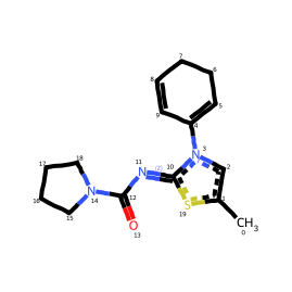 Cc1cn(C2=CCCC=C2)/c(=N/C(=O)N2CCCC2)s1